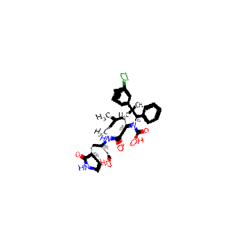 CC(C)C[C@@H](C(=O)N[C@H](CO)C[C@@H]1CCNC1=O)N(C(=O)O)[C@@H](c1ccccc1)C(C)(C)c1cccc(Cl)c1